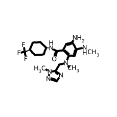 CNc1cc(N(C)Cc2ncnn2C)c(C(=O)N[C@H]2CC[C@H](C(F)(F)F)CC2)cc1N